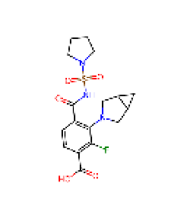 O=C(O)c1ccc(C(=O)NS(=O)(=O)N2CCCC2)c(N2CC3CC3C2)c1F